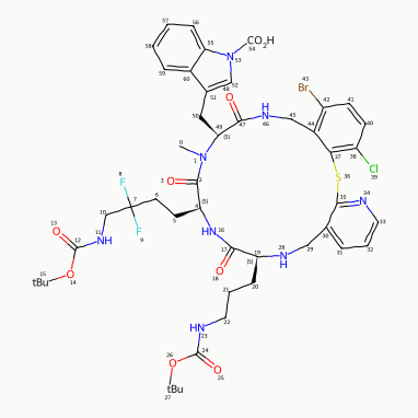 CN1C(=O)[C@H](CCC(F)(F)CNC(=O)OC(C)(C)C)NC(=O)[C@H](CCCNC(=O)OC(C)(C)C)NCc2cccnc2Sc2c(Cl)ccc(Br)c2CNC(=O)[C@@H]1Cc1cn(C(=O)O)c2ccccc12